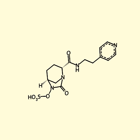 O=C(NCCc1ccncc1)[C@H]1CC[C@H]2CN1C(=O)N2OS(=O)(=O)O